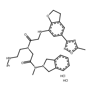 Cc1nc(-c2cc3c(c(NCC(=O)N(CCNC(C)C)CC(=O)N(C)N4Cc5ccccc5C4)c2)OCC3)no1.Cl.Cl